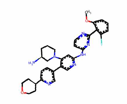 COc1cccc(F)c1-c1nccc(Nc2cc(N3CCC[C@H](N)C3)c(-c3ccc(C4CCOCC4)nc3)cn2)n1